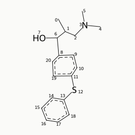 CC(CN(C)C)C(O)c1ccc(Sc2ccccc2)cc1